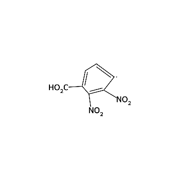 O=C(O)c1cc[c]c([N+](=O)[O-])c1[N+](=O)[O-]